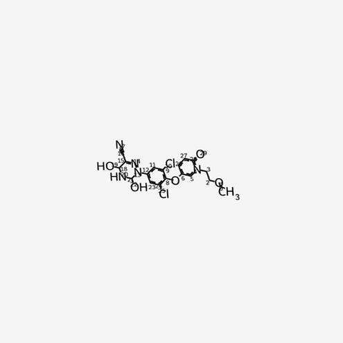 COCCn1cc(Oc2c(Cl)cc(N3N=C(C#N)C(O)NC3O)cc2Cl)ccc1=O